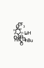 CCCCOC(=O)NS(=O)(=O)c1ccc(OC(F)(F)F)cc1.[LiH]